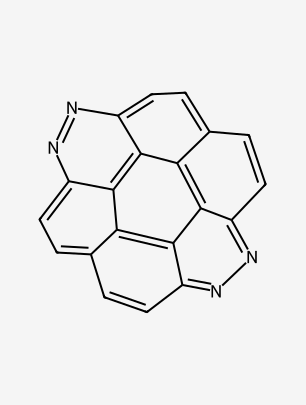 c1cc2nnc3ccc4ccc5nnc6ccc1c1c2c3c4c5c61